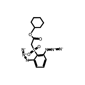 [N-]=[N+]=Nc1cccc(N=[N+]=[N-])c1S(=O)(=O)CC(=O)OC1CCCCC1